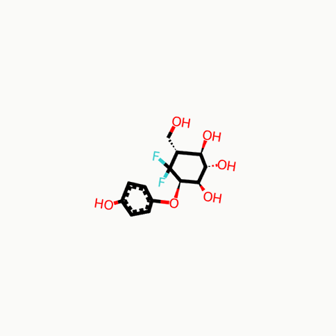 OC[C@@H]1[C@@H](O)[C@H](O)[C@@H](O)[C@@H](Oc2ccc(O)cc2)C1(F)F